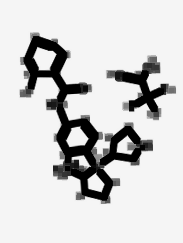 Cc1cc(NC(=O)c2ccccc2F)ccc1[N+]1(C2CCNC2)CCCC1C.O=C(O)C(F)(F)F